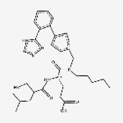 CCCCCN(Cc1ccc(-c2ccccc2-c2nnn[nH]2)cc1)C(=O)[C@H](CCC(=O)O)NC(=O)C(CS)CC(C)C